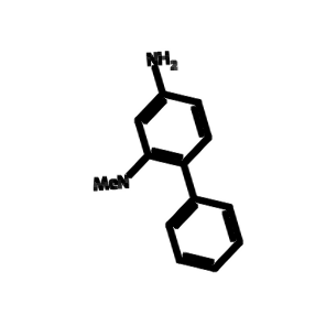 CNc1cc(N)ccc1-c1ccccc1